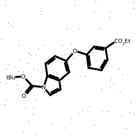 CCOC(=O)c1cccc(Oc2ccc3c(ccn3C(=O)OC(C)(C)C)c2)c1